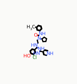 Cc1cccc(NC(=O)N(CCNC(NC(=N)C2=CCNC=C2)c2ccc(O)c(Cl)c2)C2CCCC2)c1